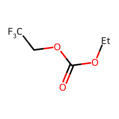 CCOC(=O)OCC(F)(F)F